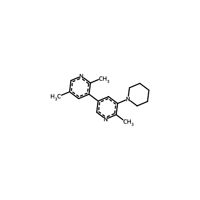 Cc1cnc(C)c(-c2cnc(C)c(N3CCCCC3)c2)c1